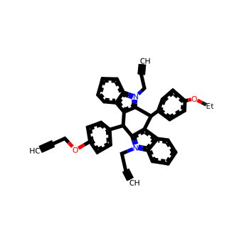 C#CCOc1ccc(C2c3c(n(CC#C)c4ccccc34)C(c3ccc(OCC)cc3)c3c2n(CC#C)c2ccccc32)cc1